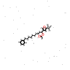 CC(=O)OC(CCCCCCCCCc1ccccc1)c1coc([Si](C)(C)C)c1